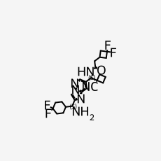 N#CC1([C@@H](NC(=O)CC2CC(F)(F)C2)c2cnn3cc([C@@H](N)C4CCC(F)(F)CC4)nc3c2)CCC1